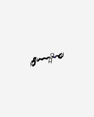 O=C(/C=C/c1cccnc1)NCCCCCCn1ccc2cnccc21